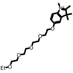 CCOCCOCCOCCOCCOc1ccc2c(c1)C(C)(C)C(C)=[N+]2C